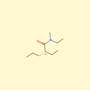 CCC[C@@H](CC)C(=O)N(C)CC